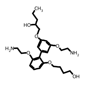 CCCC(O)COc1cc(OCCN)cc(-c2c(OCCN)cccc2OCCCCO)c1